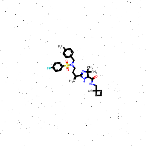 C=C(CCN(Cc1ccc(C(F)(F)F)cc1)S(=O)(=O)c1ccc(F)cc1)C1=NC(C)(C)C(C(=O)NCC2(C#N)CCC2)N1